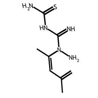 C=C(C)/C=C(/C)N(N)C(=N)NC(N)=S